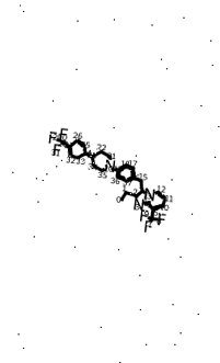 CCC1N=C2C(C(F)(F)F)=CC=CN2C1Cc1ccc(N2CCC(C3C=CC(C(F)(F)F)=CC3)CC2)cc1